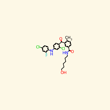 Cc1ccc(C(=O)NCCCCCCO)cc1C(=O)c1ccc(Nc2ccc(Cl)cc2F)cc1Cl